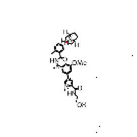 COc1cc(-c2cc(C(=O)NCCO)n(C)c2)cc([C@@H](C)NC(=O)c2cc(N3C[C@H]4CC[C@@H](C3)N4CI)ccc2C)c1